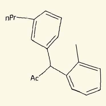 C[CH]Cc1cccc(C(C(C)=O)c2ccccc2C)c1